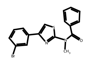 CN(C(=O)c1ccccc1)c1nc(-c2cccc(Br)c2)cs1